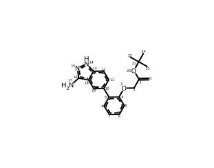 C=C(COc1ccccc1-c1ccc2[nH]nc(N)c2c1)OC(C)(C)C